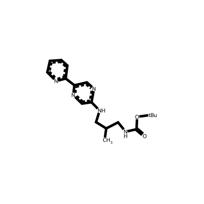 CC(CNC(=O)OC(C)(C)C)CNc1cnc(-c2ccccn2)cn1